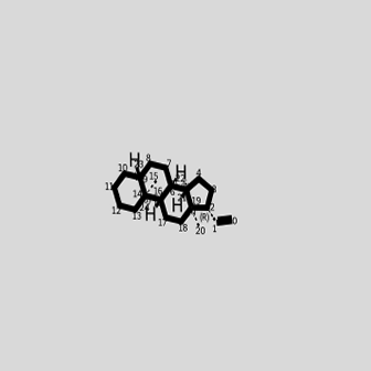 C=C[C@H]1CC[C@H]2[C@@H]3CC[C@H]4CCCC[C@]4(C)[C@H]3CC[C@]12C